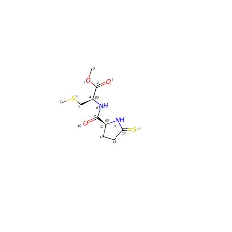 COC(=O)[C@H](CSC)NC(=O)[C@@H]1CCC(=S)N1